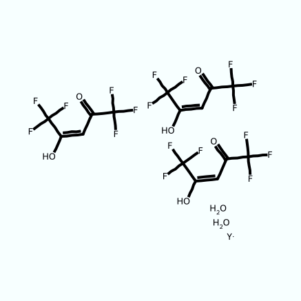 O.O.O=C(/C=C(/O)C(F)(F)F)C(F)(F)F.O=C(/C=C(/O)C(F)(F)F)C(F)(F)F.O=C(/C=C(/O)C(F)(F)F)C(F)(F)F.[Y]